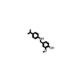 COc1cc(CNc2ccc(C(C)C)cc2)ccc1O